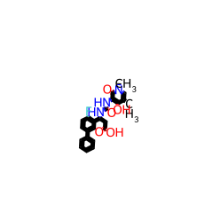 Cc1cn(C)c(=O)c(NC(=O)NC(CC(=O)O)c2cc(-c3ccccc3)ccc2F)c1O